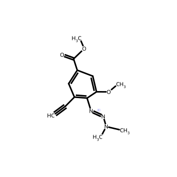 C#Cc1cc(C(=O)OC)cc(OC)c1/N=N/N(C)C